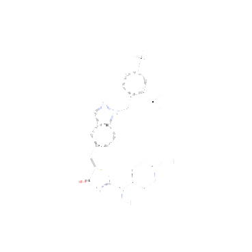 CN1CCC(N(C)C2=NC(=O)/C(=C/c3ccc4c(cnn4Cc4ccc(C(F)(F)F)cc4C(F)(F)F)c3)S2)CC1